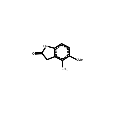 CSc1ccc2c(c1C)CC(=O)N2